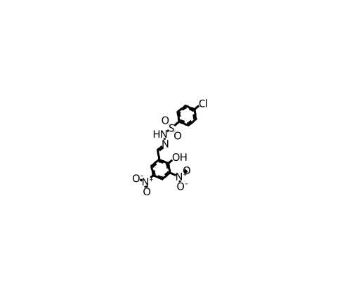 O=[N+]([O-])c1cc(/C=N/NS(=O)(=O)c2ccc(Cl)cc2)c(O)c([N+](=O)[O-])c1